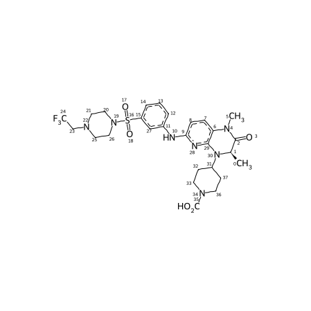 C[C@@H]1C(=O)N(C)c2ccc(Nc3cccc(S(=O)(=O)N4CCN(CC(F)(F)F)CC4)c3)nc2N1C1CCN(C(=O)O)CC1